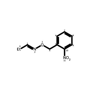 CCC=NOCc1ccccc1[N+](=O)[O-]